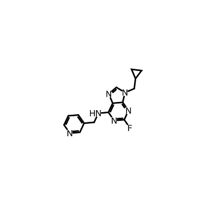 Fc1nc(NCc2cccnc2)c2ncn(CC3CC3)c2n1